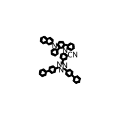 N#Cc1cc(-c2nc(-c3ccc(-c4ccccc4)cc3)nc(-c3ccc(-c4ccccc4)cc3)n2)ccc1-n1c2ccccc2c2ccc3c(c4ccccc4n3-c3ccc4ccccc4c3)c21